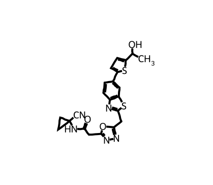 CC(O)c1ccc(-c2ccc3nc(Cc4nnc(CC(=O)NC5(C#N)CC5)o4)sc3c2)s1